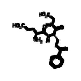 N[C@@H](CCC(=O)O)C(=O)N[C@@H](CSC(=O)c1ccccc1)C(=O)NCC(=O)O